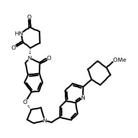 COC1CCC(c2ccc3cc(CN4CC[C@H](Oc5ccc6c(c5)CN([C@H]5CCC(=O)NC5=O)C6=O)C4)ccc3n2)CC1